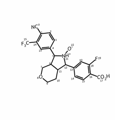 N#Cc1ccc(C2C3COCCC3C(c3ccc(C(=O)O)c(F)c3)[NH+]2[O-])cc1C(F)(F)F